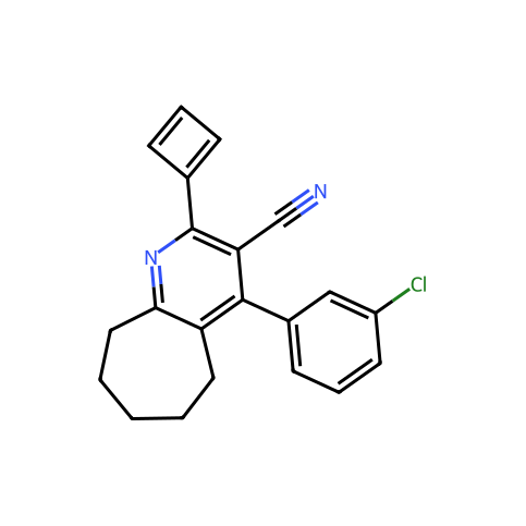 N#Cc1c(C2=CC=C2)nc2c(c1-c1cccc(Cl)c1)CCCCC2